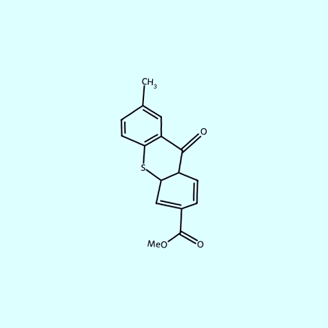 COC(=O)C1=CC2Sc3ccc(C)cc3C(=O)C2C=C1